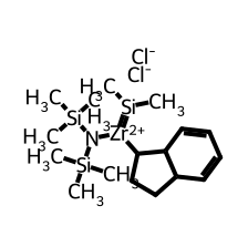 C[Si](C)=[Zr+2]([CH]1CCC2C=CC=CC21)[N]([Si](C)(C)C)[Si](C)(C)C.[Cl-].[Cl-]